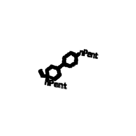 C=CC1(CCCCC)CCC(C2CCC(CCCCC)CC2)CC1